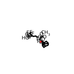 COC(=O)C(OCCCC(F)(F)C(F)(F)S(=O)(=O)O)(OC(=O)C12CC3CC(CC(C3)C1)C2)C(F)(F)F